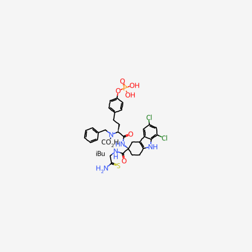 CC[C@H](C)C(NC(=O)[C@@]1(NC(=O)[C@H](CCc2ccc(OP(=O)(O)O)cc2)N(Cc2ccccc2)C(=O)O)CCc2[nH]c3c(Cl)cc(Cl)cc3c2C1)C(N)=S